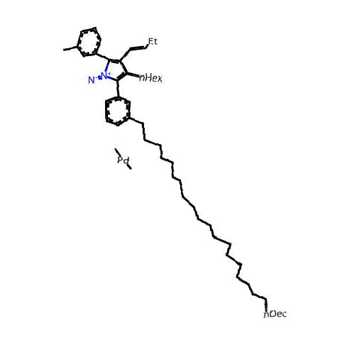 CCC=CC1=C(c2cccc(C)c2)[N+](=[N-])C(c2cccc(CCCCCCCCCCCCCCCCCCCCCCCCCCCCC)c2)=C1CCCCCC.[CH3][Pd][CH3]